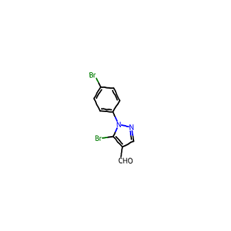 O=Cc1cnn(-c2ccc(Br)cc2)c1Br